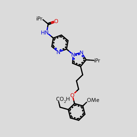 COc1cccc(CC(=O)O)c1OCCCc1cn(-c2ccc(NC(=O)C(C)C)cn2)nc1C(C)C